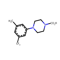 Cc1cc(N2CCN(C(=O)O)CC2)cc(C(F)(F)F)c1